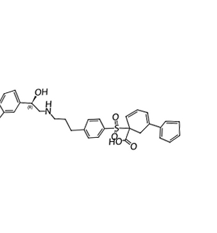 O=C(O)C1(S(=O)(=O)c2ccc(CCCNC[C@H](O)c3cccc(Cl)c3)cc2)C=CC=C(c2ccccc2)C1